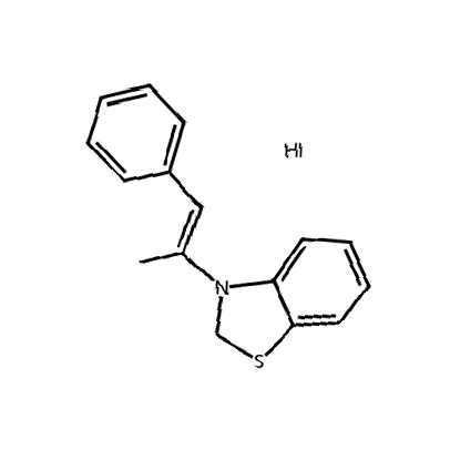 CC(=Cc1ccccc1)N1CSc2ccccc21.I